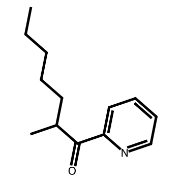 CCCCCC(C)C(=O)c1ccccn1